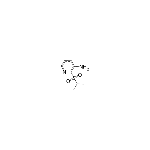 CC(C)S(=O)(=O)c1ncccc1N